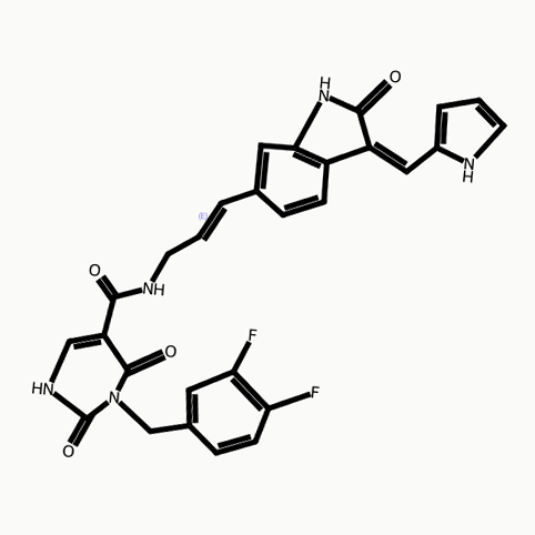 O=C1Nc2cc(/C=C/CNC(=O)c3c[nH]c(=O)n(Cc4ccc(F)c(F)c4)c3=O)ccc2C1=Cc1ccc[nH]1